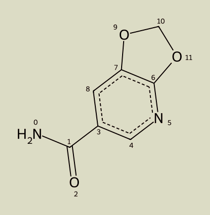 NC(=O)c1cnc2c(c1)OCO2